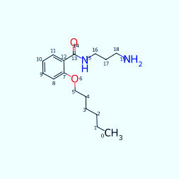 CCCCCCOc1ccccc1C(=O)NCCCN